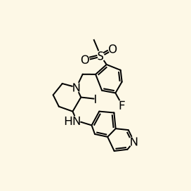 CS(=O)(=O)c1ccc(F)cc1CN1CCCC(Nc2ccc3cnccc3c2)C1I